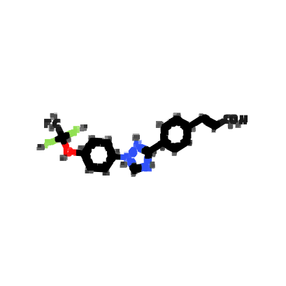 O=C(O)C=Cc1ccc(-c2ncn(-c3ccc(OC(F)(F)C(F)(F)F)cc3)n2)cc1